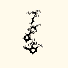 Cc1cccc(C#N)c1S(=O)(=O)Nc1ccsc1C(=O)N[C@@H](CCCNC(N)N)C(=O)O